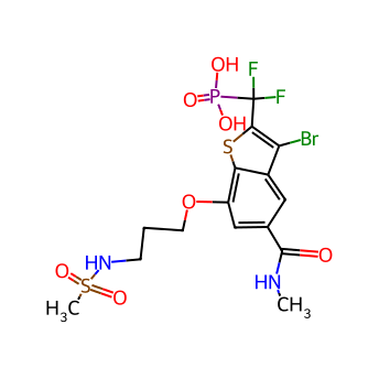 CNC(=O)c1cc(OCCCNS(C)(=O)=O)c2sc(C(F)(F)P(=O)(O)O)c(Br)c2c1